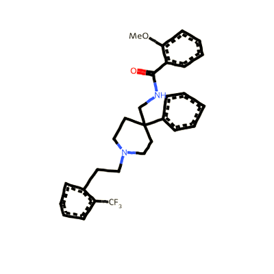 COc1ccccc1C(=O)NCC1(c2ccccc2)CCN(CCc2ccccc2C(F)(F)F)CC1